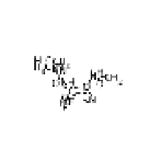 C=CC(=O)N(C)CCOc1cnccc1-c1ccc(CNC(=O)c2cn(C(C)(C)C)nn2)c(OC(F)(F)F)c1